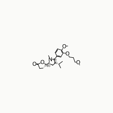 COCCCOc1cc([C@H]2[C@H](C(C)C)C[C@@H]([C@@H]3CCC(=O)O3)N2C)ccc1OC